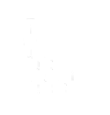 C=CC(=O)N1CCCC(N(C(=O)C=C)c2nncc(Nc3ccc(C4CC4)cc3)n2)C1